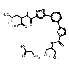 CCC(CC)NC(=O)c1cnc(-c2cccc(-c3cc(C(=O)NC(CC(C)C)C(=O)O)n[nH]3)c2)o1.NCC(=O)O